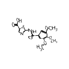 COc1cc(C(=O)Nc2ncc(C(=O)O)s2)cc(OC)c1OC